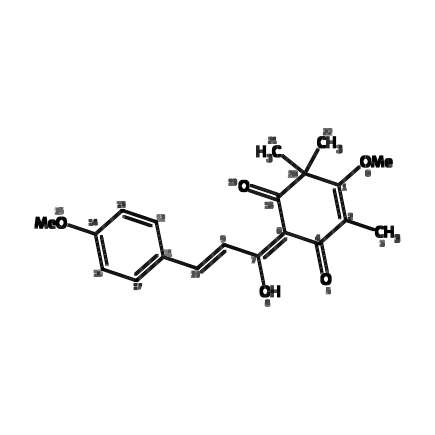 COC1=C(C)C(=O)/C(=C(O)/C=C/c2ccc(OC)cc2)C(=O)C1(C)C